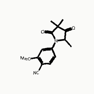 COc1cc(N2C(=O)C(C)(C)C(=O)C2C)ccc1C#N